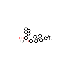 CCC(C)(C)c1ccc(-c2ccc3c(c2)C2(c4ccccc4-c4ccccc42)c2cc(-c4ccc(Oc5cc(-c6ccc7ccc8cccc9ccc6c7c89)cc(O)c5C(F)(F)F)cc4)ccc2-3)cc1